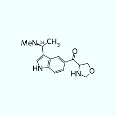 CN[C@@H](C)c1c[nH]c2ccc(C(=O)C3COCN3)cc12